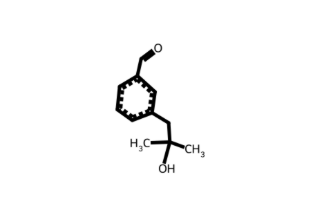 CC(C)(O)Cc1cccc(C=O)c1